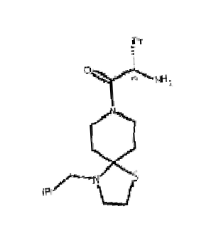 CC(C)CN1CCSC12CCN(C(=O)[C@@H](N)C(C)C)CC2